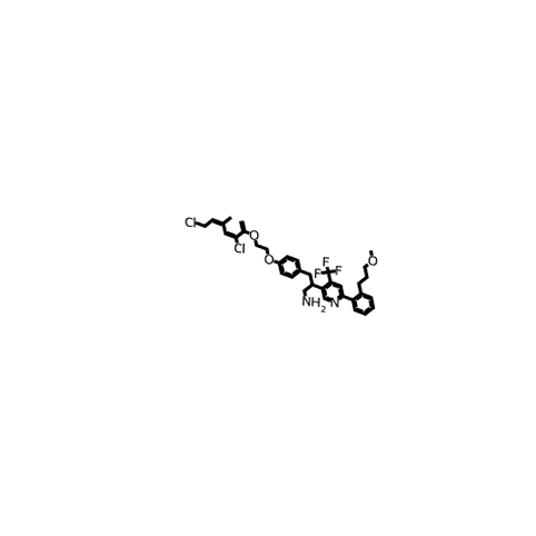 C=C(OCCOc1ccc(CC(CN)c2cnc(-c3ccccc3CCCOC)cc2C(F)(F)F)cc1)/C(Cl)=C\C(C)=C/CCl